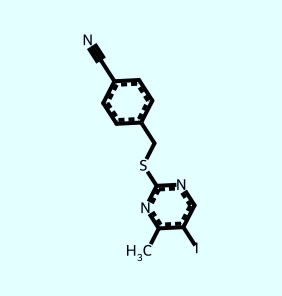 Cc1nc(SCc2ccc(C#N)cc2)ncc1I